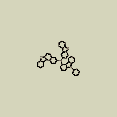 c1ccc(-n2c3ccccc3c3c(N(c4ccc5c(ccc6oc7ccccc7c65)c4)c4ccc5sc6ccccc6c5c4)cccc32)cc1